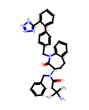 CC(C)(N)CC(=O)N(Cc1ccccc1)[C@@H]1CCc2ccccc2N(Cc2ccc(-c3ccccc3-c3nnn[nH]3)cc2)C1=O